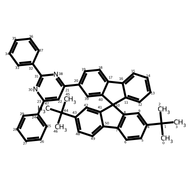 CC(C)(C)c1ccc2c(c1)C1(c3ccccc3-c3ccc(-c4cc(-c5ccccc5)nc(-c5ccccc5)n4)cc31)c1cc(C(C)(C)C)ccc1-2